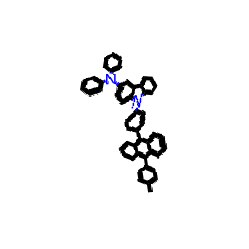 Cc1ccc(-c2c3ccccc3c(-c3ccc(-n4c5ccccc5c5cc(N(c6ccccc6)c6ccccc6)ccc54)cc3)c3ccccc23)cc1